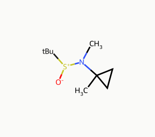 CN([S+]([O-])C(C)(C)C)C1(C)CC1